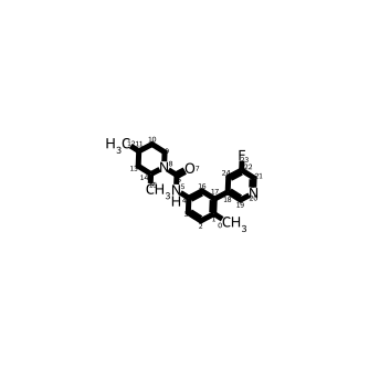 Cc1ccc(NC(=O)N2CCC(C)CC2C)cc1-c1cncc(F)c1